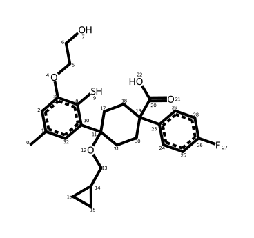 Cc1cc(OCCO)c(S)c(C2(OCC3CC3)CCC(C(=O)O)(c3ccc(F)cc3)CC2)c1